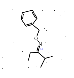 CC/C(=N\OCc1ccccc1)C(C)C